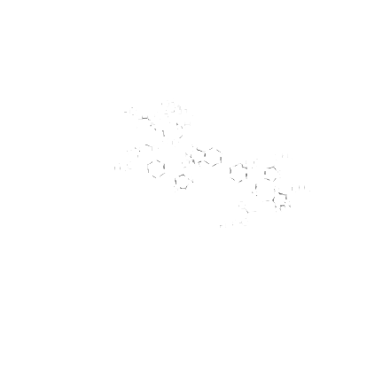 COC(=O)C[C@@H]1N=C(c2ccc(-c3ccc4c(cnn4CC(=O)NC(C(=O)N4C[C@H](O)C[C@H]4C(=O)N[C@@H](C)c4ccc(-c5scnc5C)cc4)C(C)(C)C)c3)cc2)c2c(sc(C)c2C)-n2c(C)nnc21